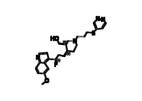 COc1ccc2nccc([C@H](F)CC[C@@H]3CCN(CCCSc4ccnnc4)C[C@@H]3CO)c2c1